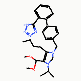 CCCCC1=C(C(OC)OC)N(C(C)C)CN1Cc1ccc(-c2ccccc2-c2nnn[nH]2)cc1